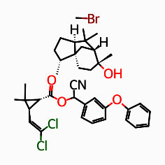 CBr.CC1(C)[C@H](C=C(Cl)Cl)[C@H]1C(=O)OC(C#N)c1cccc(Oc2ccccc2)c1.C[C@@H]1CC[C@H]2C(C)(C)[C@H]3C[C@@]12CC[C@@]3(C)O